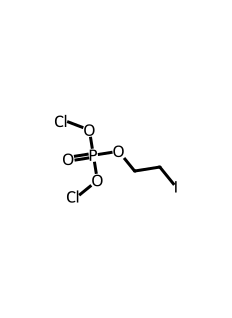 O=P(OCl)(OCl)OCCI